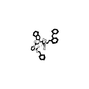 C[C@@]1(C(=O)N(CC(=O)N2CCC[C@H]2C(=O)OCc2ccccc2)C2Cc3ccccc3C2)NP1(=O)CCc1ccccc1Cc1ccccc1